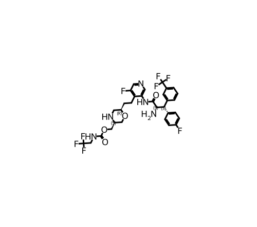 N[C@H](C(=O)Nc1cncc(F)c1CC[C@@H]1CN[C@H](COC(=O)NCC(F)(F)F)CO1)[C@@H](c1ccc(F)cc1)c1cccc(C(F)(F)F)c1